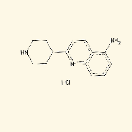 Cl.Nc1cccc2nc(C3CCNCC3)ccc12